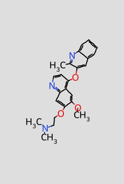 COc1cc2c(Oc3cc4ccccc4nc3C)ccnc2cc1OCCN(C)C